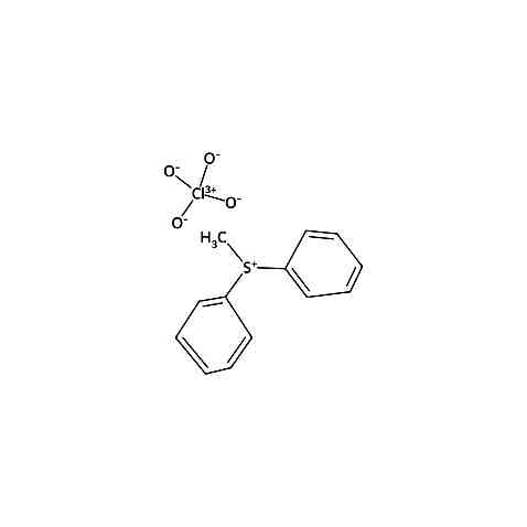 C[S+](c1ccccc1)c1ccccc1.[O-][Cl+3]([O-])([O-])[O-]